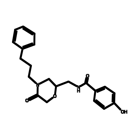 O=C(NCC1CN(CCCc2ccccc2)C(=O)CO1)c1ccc(O)cc1